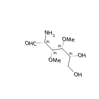 CO[C@@H]([C@H](OC)[C@@H](N)C=O)[C@H](O)CO